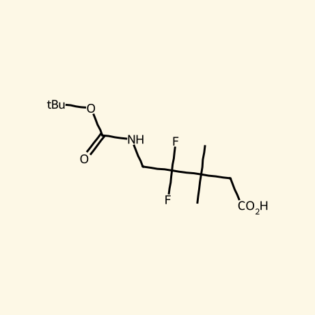 CC(C)(C)OC(=O)NCC(F)(F)C(C)(C)CC(=O)O